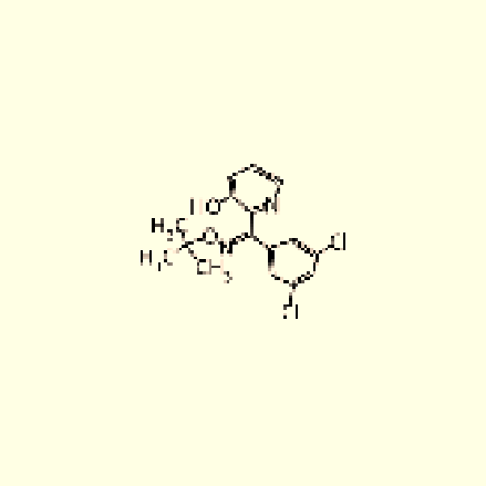 CC(C)(C)ON=C(c1cc(Cl)cc(Cl)c1)c1ncccc1O